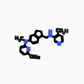 COc1cccc(N(C)c2ccc3c(c2)CC[C@H]3CNc2cnccc2C(=O)O)n1